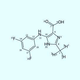 [3H]C([3H])([3H])c1nc(C(=O)O)c(Nc2cc(F)cc(F)c2)[nH]1